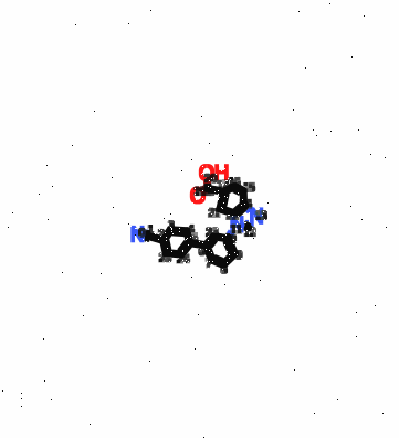 N#Cc1ccc(-c2cccc(-n3cnc4ccc(C(=O)O)cc43)c2)cc1